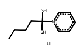 CCCCC(S)(S)[n+]1ccccc1.[Cl-]